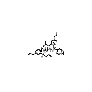 C=CCc1ccc(NCC(=C)C(/C(N)=N\C(=C=CC)c2ccncc2)=C(/C)CC(=C)CCC)c(C(F)(F)CC=C)c1